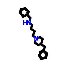 c1ccc(CNCCCCN2CCC(Cc3ccccc3)CC2)cc1